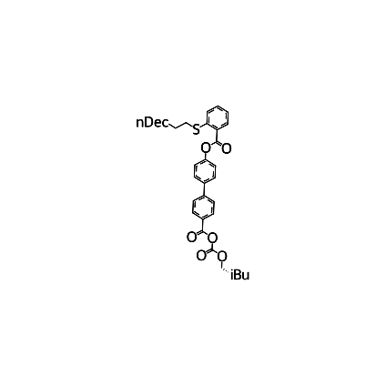 CCCCCCCCCCCCSc1ccccc1C(=O)Oc1ccc(-c2ccc(C(=O)OC(=O)OC[C@@H](C)CC)cc2)cc1